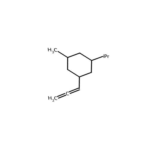 C=C=CC1CC(C)CC(C(C)C)C1